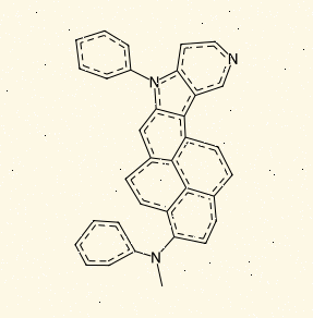 CN(c1ccccc1)c1ccc2ccc3c4c(ccc1c24)cc1c3c2cnccc2n1-c1ccccc1